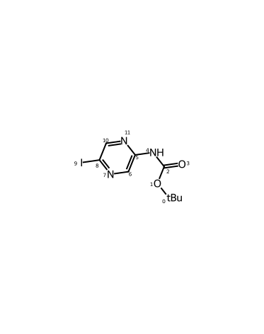 CC(C)(C)OC(=O)Nc1cnc(I)cn1